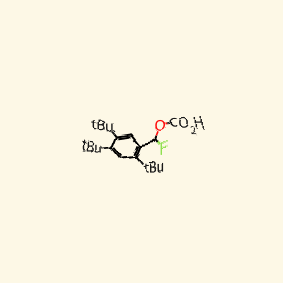 CC(C)(C)c1cc(C(C)(C)C)c(C(C)(C)C)cc1C(F)OC(=O)O